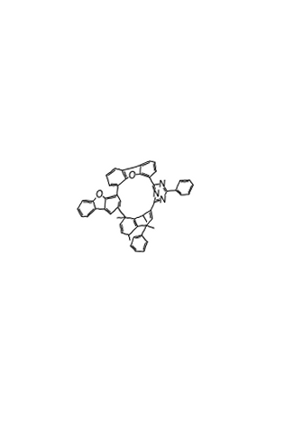 CC1C=CC2(C)C3=C1C(C)(c1ccccc1)C=C(c1nc(-c4ccccc4)nc(n1)-c1cccc4c1oc1c(cccc14)-c1cc2cc2c1oc1ccccc12)C3C